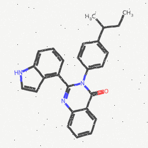 CCC(C)c1ccc(-n2c(-c3cccc4[nH]ccc34)nc3ccccc3c2=O)cc1